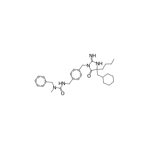 CCCCC1(CC2CCCCC2)NC(=N)N(Cc2ccc(CNC(=O)N(C)Cc3ccccc3)cc2)C1=O